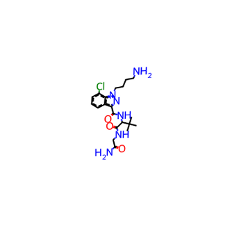 CC(C)(C)C(NC(=O)c1nn(CCCCN)c2c(Cl)cccc12)C(=O)NCC(N)=O